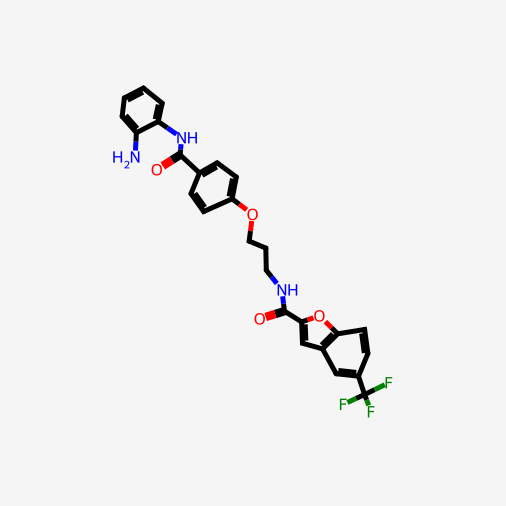 Nc1ccccc1NC(=O)c1ccc(OCCCNC(=O)c2cc3cc(C(F)(F)F)ccc3o2)cc1